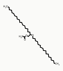 CCCCCCCCCCCCCCCCCCOC(CCCCCCCCCCCCCCCCCC)COC(N)=O